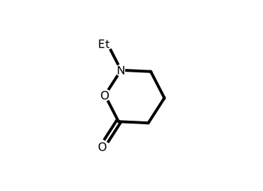 CCN1CCCC(=O)O1